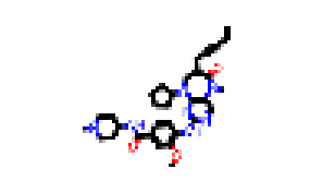 CCC#CCC1CN(C2CCCC2)c2nc(Nc3ccc(C(=O)NC4CCN(C)CC4)cc3OC)ncc2N(C)C1=O